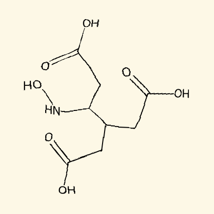 O=C(O)CC(CC(=O)O)C(CC(=O)O)NO